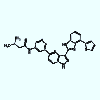 CC(C)CC(=O)Nc1cncc(-c2ccc3[nH]nc(-c4nc5c(-c6cccs6)cccc5[nH]4)c3n2)c1